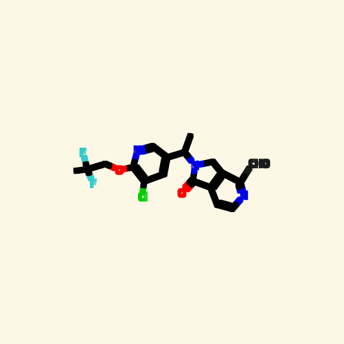 CC(c1cnc(OCC(C)(F)F)c(Cl)c1)N1Cc2c(ccnc2C=O)C1=O